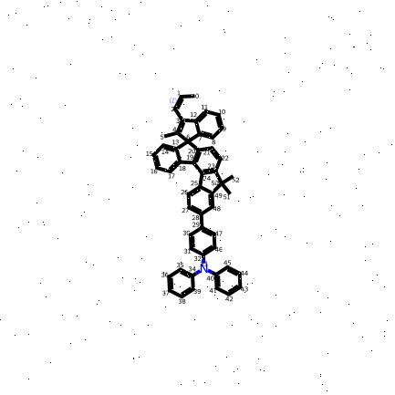 C/C=C\C1=C(C)C2(c3ccccc31)c1ccccc1-c1c2ccc2c1-c1ccc(-c3ccc(N(c4ccccc4)c4ccccc4)cc3)cc1C2(C)C